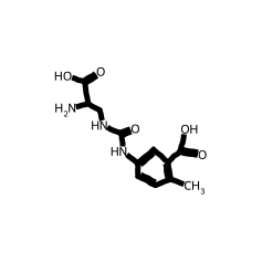 Cc1ccc(NC(=O)NCC(N)C(=O)O)cc1C(=O)O